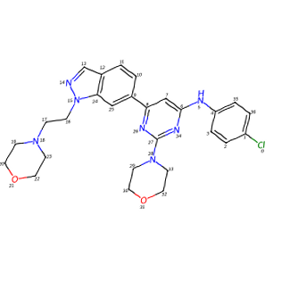 Clc1ccc(Nc2cc(-c3ccc4cnn(CCN5CCOCC5)c4c3)nc(N3CCOCC3)n2)cc1